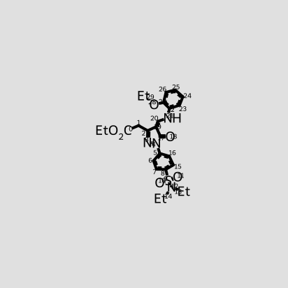 CCOC(=O)CC1=NN(c2ccc(S(=O)(=O)N(CC)CC)cc2)C(=O)/C1=C\Nc1ccccc1OCC